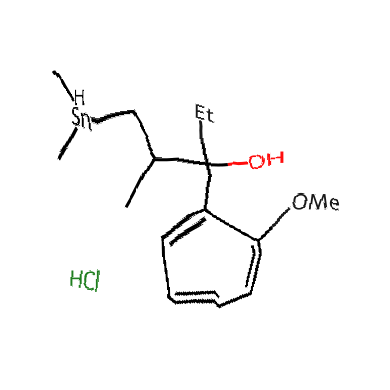 CCC(O)(c1ccccc1OC)C(C)[CH2][SnH]([CH3])[CH3].Cl